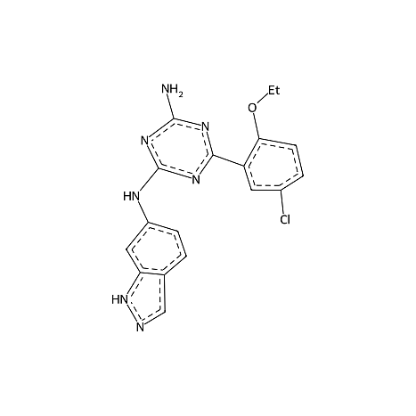 CCOc1ccc(Cl)cc1-c1nc(N)nc(Nc2ccc3cn[nH]c3c2)n1